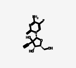 C#CC1(O)[C@@H](O)[C@@H](CO)O[C@H]1N1C=C(F)C(N)=NC1=C